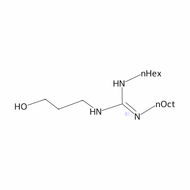 CCCCCCCC/N=C(/NCCCO)NCCCCCC